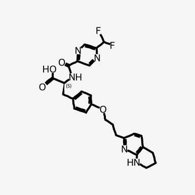 O=C(N[C@@H](Cc1ccc(OCCCc2ccc3c(n2)NCCC3)cc1)C(=O)O)c1cnc(C(F)F)cn1